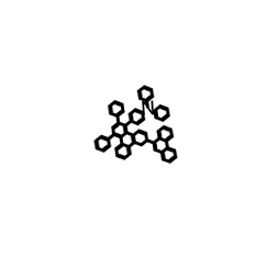 C1=CC(c2cc3ccccc3c3ccccc23)Cc2c1c1c(-c3ccc(N(c4ccccc4)c4ccccc4)cc3)c(-c3ccccc3)cc(-c3ccccc3)c1c1ccccc21